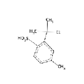 CCC(C)(C)c1cc(C)ccc1S(=O)(=O)O